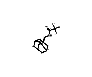 CC(F)(F)C(=O)NCC12CC3CC(CC(C3)C1)C2